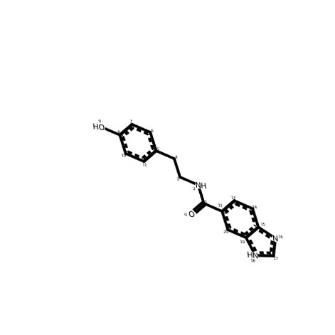 O=C(NCCc1ccc(O)cc1)c1ccc2nc[nH]c2c1